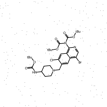 CC(C)(C)OC(=O)NC1CCN(Cc2cc3c(Br)cnc(N(C(=O)OC(C)(C)C)C(=O)OC(C)(C)C)c3cc2Cl)CC1